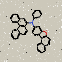 c1ccc(N(c2ccc3c(c2)oc2ccc4ccccc4c23)c2cc3ccccc3c3c2ccc2ccccc23)cc1